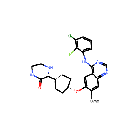 COc1cc2ncnc(Nc3cccc(Cl)c3F)c2cc1O[C@H]1CC[C@@H]([C@H]2NCCNC2=O)CC1